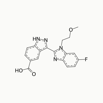 COCCn1c(-c2n[nH]c3ccc(C(=O)O)cc23)nc2ccc(F)cc21